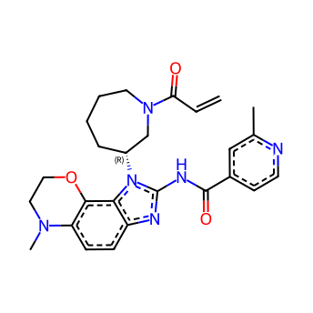 C=CC(=O)N1CCCC[C@@H](n2c(NC(=O)c3ccnc(C)c3)nc3ccc4c(c32)OCCN4C)C1